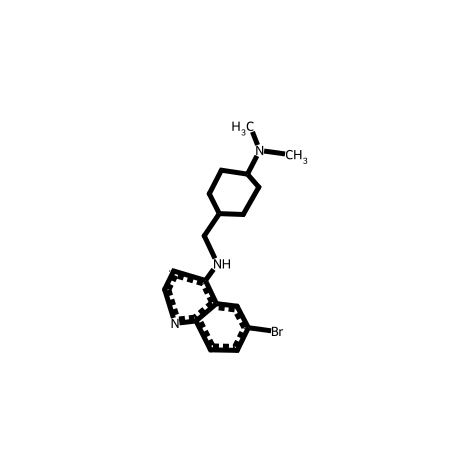 CN(C)C1CCC(CNc2[c]cnc3ccc(Br)cc23)CC1